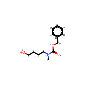 CN(CCCCO)C(=O)OCc1ccccc1